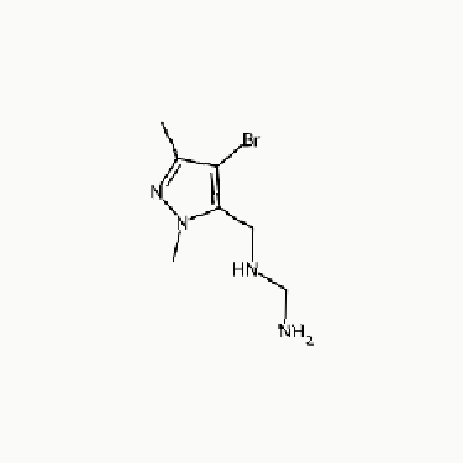 Cc1nn(C)c(CNCN)c1Br